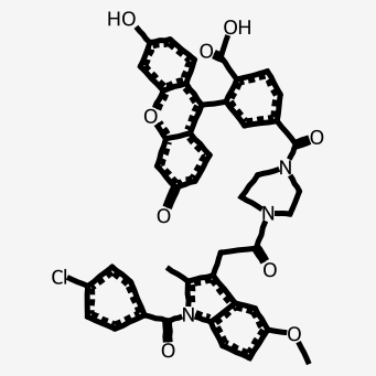 COc1ccc2c(c1)c(CC(=O)N1CCN(C(=O)c3ccc(C(=O)O)c(-c4c5ccc(=O)cc-5oc5cc(O)ccc45)c3)CC1)c(C)n2C(=O)c1ccc(Cl)cc1